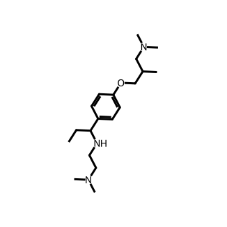 CCC(NCCN(C)C)c1ccc(OCC(C)CN(C)C)cc1